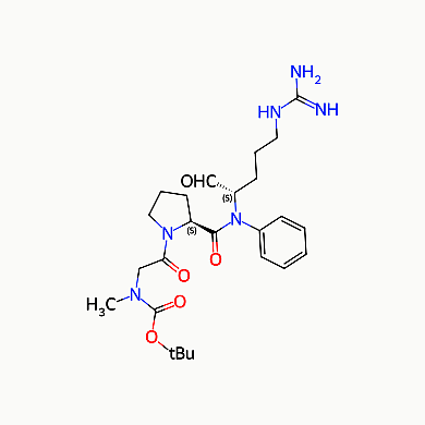 CN(CC(=O)N1CCC[C@H]1C(=O)N(c1ccccc1)[C@H](C=O)CCCNC(=N)N)C(=O)OC(C)(C)C